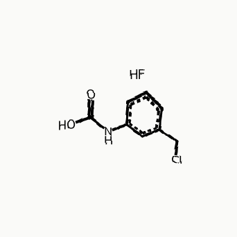 F.O=C(O)Nc1cccc(CCl)c1